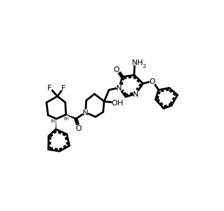 Nc1c(Oc2ccccc2)ncn(CC2(O)CCN(C(=O)[C@@H]3CC(F)(F)CC[C@H]3c3ccccc3)CC2)c1=O